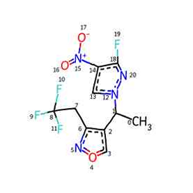 CC(c1conc1CC(F)(F)F)n1cc([N+](=O)[O-])c(F)n1